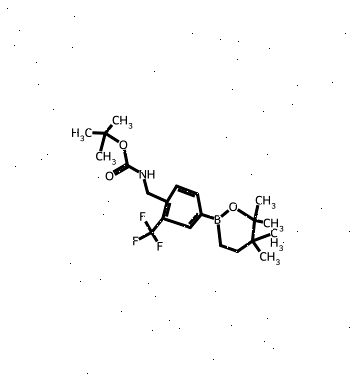 CC(C)(C)OC(=O)NCc1ccc(B2CCC(C)(C)C(C)(C)O2)cc1C(F)(F)F